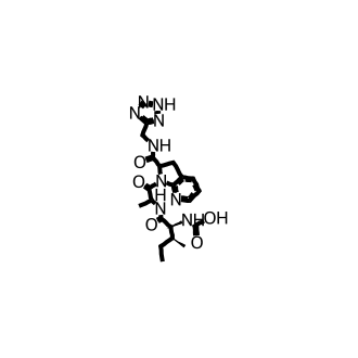 CC[C@H](C)[C@H](NC(=O)O)C(=O)NC(C)C(=O)N1c2ncccc2CC1C(=O)NCc1nn[nH]n1